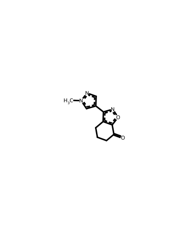 Cn1cc(-c2noc3c2CCCC3=O)cn1